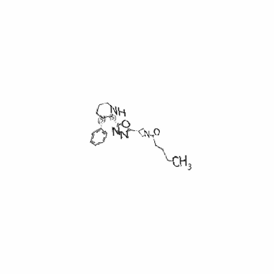 CCCCC(=O)N1CC(c2nnc([C@H]3NCCC[C@H]3c3ccccc3)o2)C1